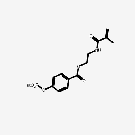 C=C(C)C(=O)NCCOC(=O)c1ccc(OC(=O)OCC)cc1